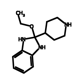 CCOC1(C2CCNCC2)Nc2ccccc2N1